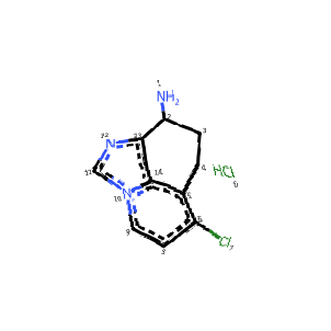 Cl.NC1CCc2c(Cl)ccn3cnc1c23